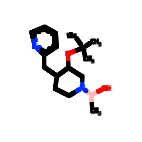 CB(O)N1CCC(Cc2ccccn2)C(O[Si](C)(C)C(C)(C)C)C1